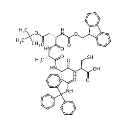 C[C@H](NC(=O)[C@H](CC(=O)OC(C)(C)C)NC(=O)OCC1c2ccccc2-c2ccccc21)C(=O)N[C@@H](CC(=O)NC(c1ccccc1)(c1ccccc1)c1ccccc1)C(=O)N[C@@H](CS)C(=O)O